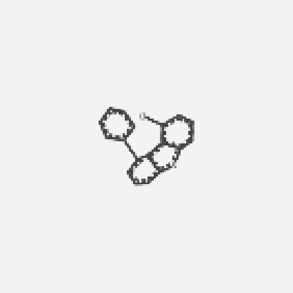 Clc1cccc2sc3cccc(-c4ccccc4)c3c12